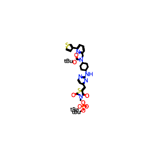 CC(C)(C)OC(=O)N(Cc1cccc(-c2ccsc2)n1)[C@H]1CC[C@H](Nc2nccc(/C=C3\SC(=O)N(COP(=O)(OC(C)(C)C)OC(C)(C)C)C3=O)n2)CC1